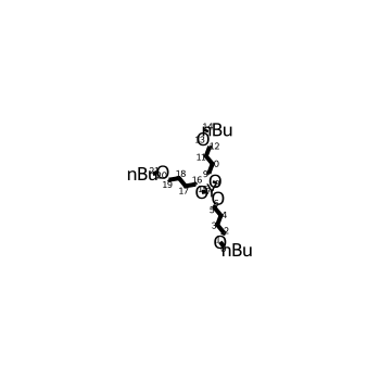 CCCCOCCCC[O][Y]([O]CCCCOCCCC)[O]CCCCOCCCC